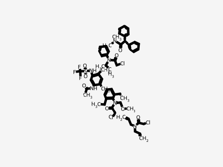 C=CCN(CC=C)C(=O)CCl.CC(=O)Nc1cc(NS(=O)(=O)C(F)(F)F)c(C)cc1C.CC(C)N(C(=O)CCl)c1ccccc1.CCc1cccc(CC)c1N(COC)C(=O)CCl.CN(C)C(=O)C(c1ccccc1)c1ccccc1